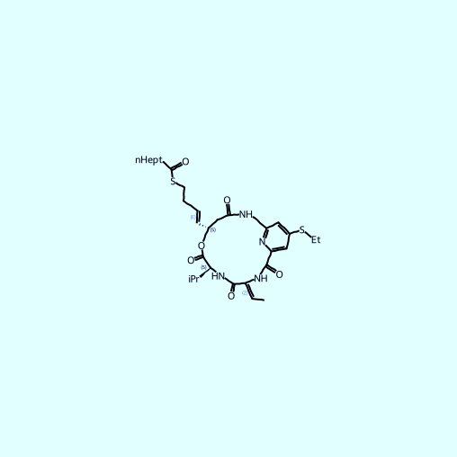 C/C=C1\NC(=O)c2cc(SCC)cc(n2)CNC(=O)C[C@@H](/C=C/CCSC(=O)CCCCCCC)OC(=O)[C@H](C(C)C)NC1=O